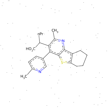 CCCC(C(=O)O)c1c(C)nc2c3c(sc2c1-c1ccc(C)nc1)CCCC3